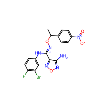 CC(O/N=C(\Nc1ccc(F)c(Br)c1)c1nonc1N)c1ccc([N+](=O)[O-])cc1